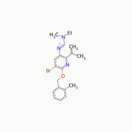 C=C(C)c1nc(OCc2ccccc2C)c(Br)cc1/N=C/N(C)CC